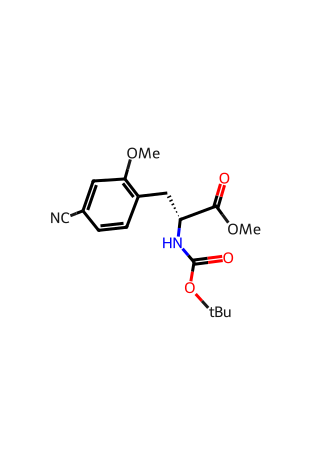 COC(=O)[C@@H](Cc1ccc(C#N)cc1OC)NC(=O)OC(C)(C)C